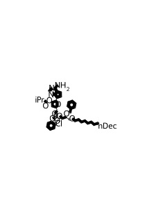 CCCCCCCCCCCCCCCCCCOC[C@H](COP(=O)(OC[C@@H]1C[C@@H](OC(=O)C(C)C)[C@H](c2ccc3c(N)ncnn23)O1)Oc1ccccc1Cl)OCc1ccccc1